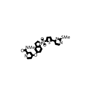 CNC(=O)c1cc(Oc2ccc3c(c2)CCN3S(=O)(=O)c2ccc(-c3ccnc(SC)n3)s2)ccn1